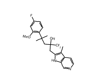 COc1cc(F)ccc1C(C)(C)CC(O)(Cc1[nH]c2cnccc2c1C)C(F)(F)F